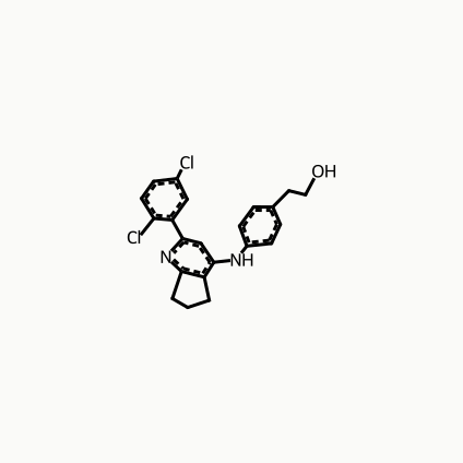 OCCc1ccc(Nc2cc(-c3cc(Cl)ccc3Cl)nc3c2CCC3)cc1